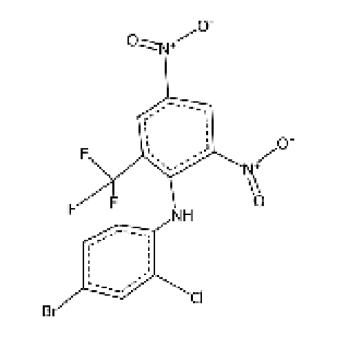 O=[N+]([O-])c1cc([N+](=O)[O-])c(Nc2ccc(Br)cc2Cl)c(C(F)(F)F)c1